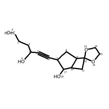 CCCCCCCCCCCCC(O)C#CC1CC2C(CC23OCCO3)C1O